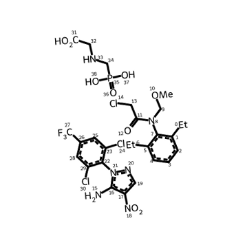 CCc1cccc(CC)c1N(COC)C(=O)CCl.Nc1c([N+](=O)[O-])cnn1-c1c(Cl)cc(C(F)(F)F)cc1Cl.O=C(O)CNCP(=O)(O)O